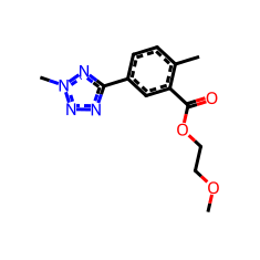 COCCOC(=O)c1cc(-c2nnn(C)n2)ccc1C